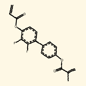 C=CC(=O)Oc1ccc(-c2ccc(OC(=O)C(=C)C)cc2)c(F)c1F